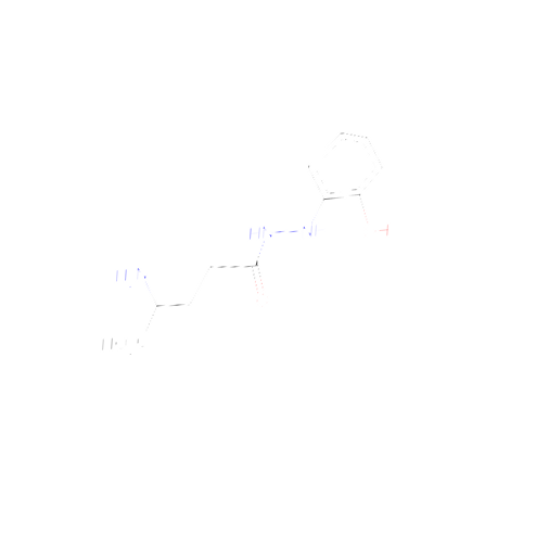 NC(CCC(=O)NNc1ccccc1O)C(=O)O